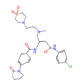 CN(CCN1CCS(=O)(=O)CC1)CC(CC(=O)Nc1ccc(Cl)cc1)NC(=O)c1ccc(N2CCCCC2=O)cc1